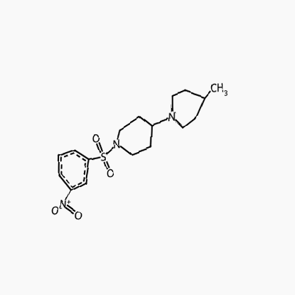 CC1CCN(C2CCN(S(=O)(=O)c3cccc([N+](=O)[O-])c3)CC2)CC1